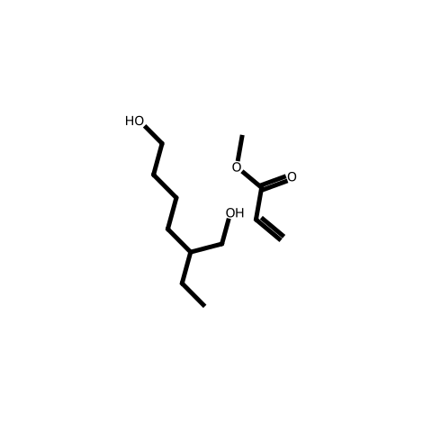 C=CC(=O)OC.CCC(CO)CCCCO